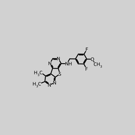 COc1c(F)cc(CNc2ncnc3c2sc2nnc(C)c(C)c23)cc1F